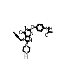 CC#CCn1c(N2CCNCC2)nc2nc(Oc3ccc(NC(C)=O)cc3)n(C)c(=O)c21